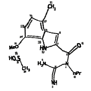 CCCN(C(=N)N)C(=O)c1cc2c(C)ccc(OC)c2[nH]1.CS(=O)(=O)O